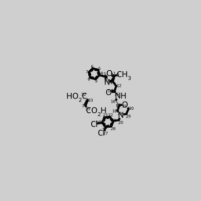 Cc1oc(-c2ccccc2)nc1CC(=O)NC[C@H]1CN(Cc2ccc(Cl)c(Cl)c2)CCO1.O=C(O)C=CC(=O)O